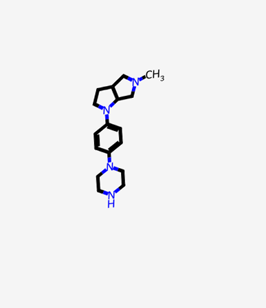 CN1CC2CCN(c3ccc(N4CCNCC4)cc3)C2C1